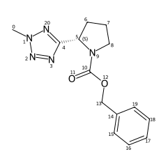 Cn1nnc([C@@H]2CCCN2C(=O)OCc2ccccc2)n1